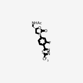 CC(=O)NC[C@H]1CN(c2ccc(-c3nnc(C(F)(F)F)s3)c(F)c2)C(=O)O1